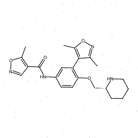 Cc1noc(C)c1-c1cc(NC(=O)c2cnoc2C)ccc1OC[C@H]1CCCCN1